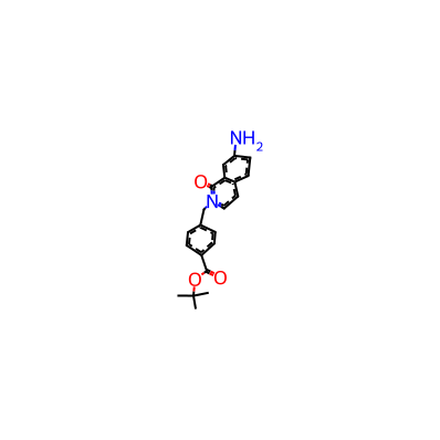 CC(C)(C)OC(=O)c1ccc(Cn2ccc3ccc(N)cc3c2=O)cc1